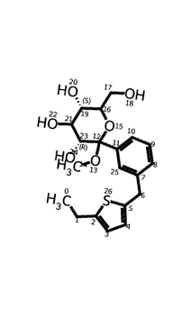 CCc1ccc(Cc2cccc(C3(OC)OC(CO)[C@@H](O)C(O)[C@H]3O)c2)s1